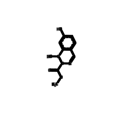 COC(=O)N1N=Cc2ccc(O)cc2B1O